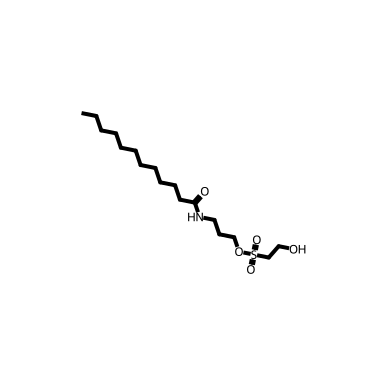 CCCCCCCCCCCC(=O)NCCCOS(=O)(=O)CCO